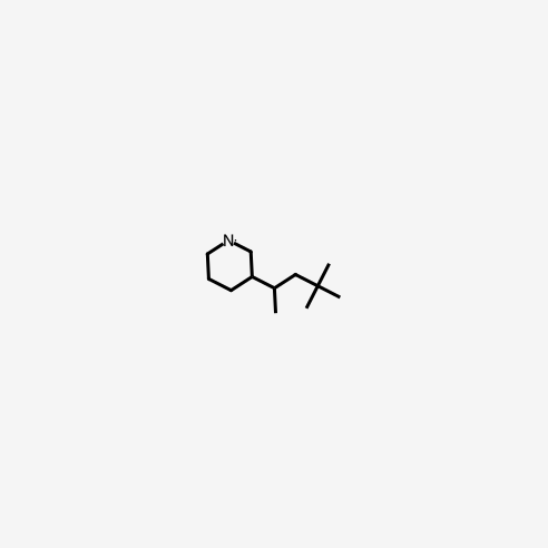 CC(CC(C)(C)C)C1CCC[N]C1